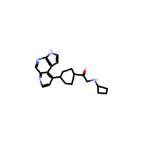 O=C(CNC1CCC1)C1CCC(c2ccnc3cnc4[nH]ccc4c23)CC1